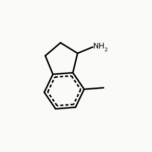 Cc1cccc2c1C(N)CC2